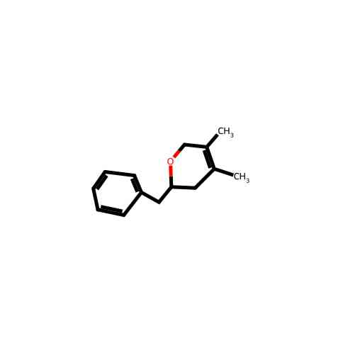 CC1=C(C)CC(Cc2ccccc2)OC1